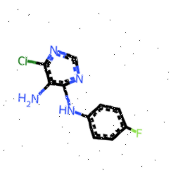 Nc1c(Cl)ncnc1Nc1ccc(F)cc1